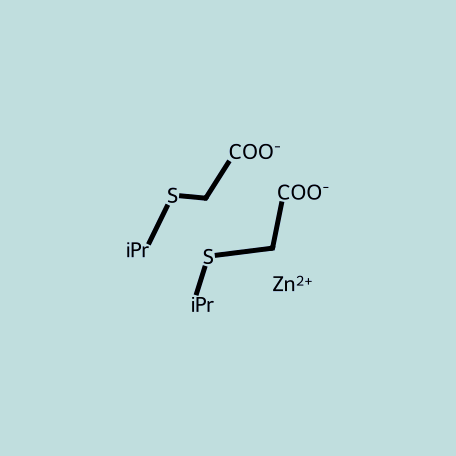 CC(C)SCC(=O)[O-].CC(C)SCC(=O)[O-].[Zn+2]